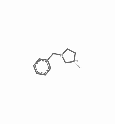 [CH2][C@H]1CCN(Cc2ccccc2)C1